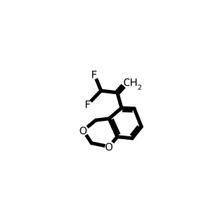 C=C(c1cccc2c1COCO2)C(F)F